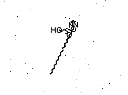 CCCCCCCCCCCCCCCCCCOCC(CSCCO)Oc1ncccn1